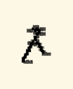 CCCCCCCC/C=C\CCCCCCCC(=O)OC[C@H](CO[C@H]1O[C@H](CO)[C@H](O)[C@H](O)[C@H]1O)OC(=O)CCCCCCCCCCCCCCC